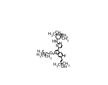 CC(C)(O)C=Cc1cc2c(cc1F)c(-c1ccnc(NC3CC(C)(C)NC(C)(C)C3)n1)cn2COCC[Si](C)(C)C